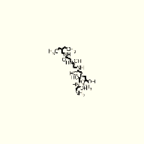 CCC(CC)CNC(=O)CNC(O)CNC(O)CN(CC(O)OC)C(O)CNC(O)CN